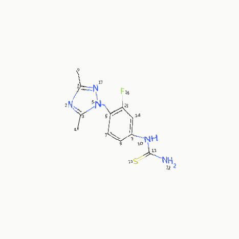 Cc1nc(C)n(-c2ccc(NC(N)=S)cc2F)n1